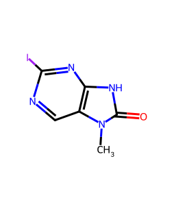 Cn1c(=O)[nH]c2nc(I)ncc21